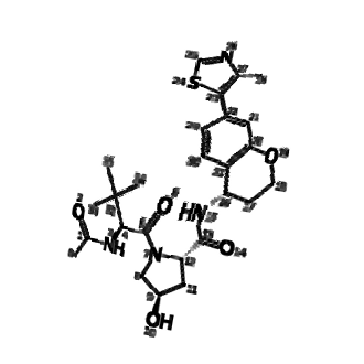 CC(=O)N[C@H](C(=O)N1C[C@H](O)C[C@H]1C(=O)N[C@H]1CCOc2cc(-c3scnc3C)ccc21)C(C)(C)C